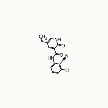 C=Cc1c[nH]c(=O)c(C(=O)Nc2cccc(Cl)c2C#N)c1